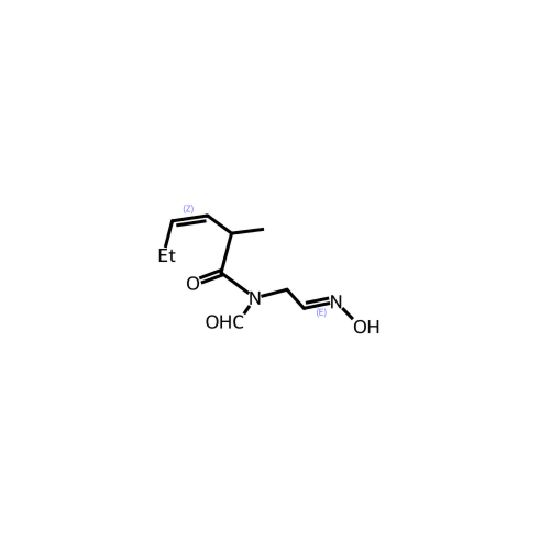 CC/C=C\C(C)C(=O)N(C=O)C/C=N/O